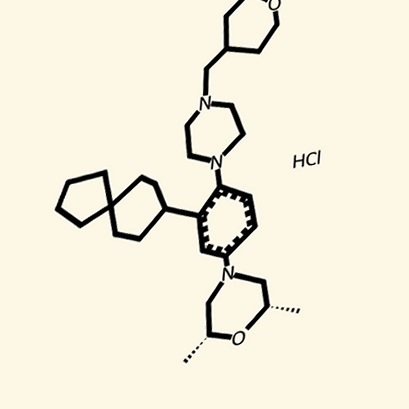 C[C@@H]1CN(c2ccc(N3CCN(CC4CCOCC4)CC3)c(C3CCC4(CCCC4)CC3)c2)C[C@H](C)O1.Cl